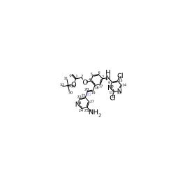 C=C(COc1ccc(Nc2nc(Cl)ncc2Cl)cc1/C=C/c1cncc(N)c1)OC(C)(C)C